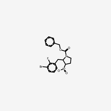 O=C(OCc1ccccc1)N1CCC([N+](=O)[O-])C1Cc1cccc(Br)c1F